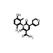 Cc1ccc(O)c(C)c1-n1c(N)c(C(N)=O)cc(C2=CCOCC2)c1=O